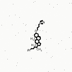 CC(C)CCCC(C)C1CCC2C3CC=C4C[C@@H](OCCCCn5ccnc5)CC[C@]4(C)C3CC[C@]12C